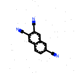 N#Cc1ccc2cc(C#N)c(C#N)cc2c1